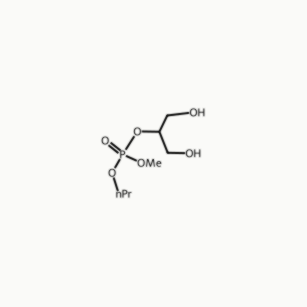 CCCOP(=O)(OC)OC(CO)CO